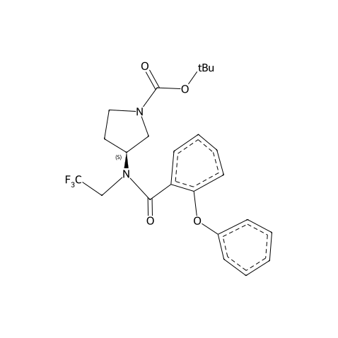 CC(C)(C)OC(=O)N1CC[C@H](N(CC(F)(F)F)C(=O)c2ccccc2Oc2ccccc2)C1